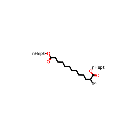 CCCCCCCOC(=O)CCCCCCCCCCC(C(=O)OCCCCCCC)C(C)C